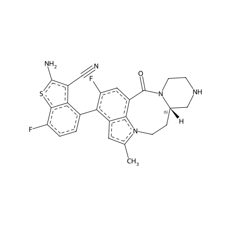 Cc1cc2c(-c3ccc(F)c4sc(N)c(C#N)c34)c(F)cc3c2n1CC[C@H]1CNCCN1C3=O